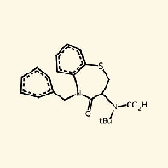 CC(C)(C)N(C(=O)O)C1CSc2ccccc2N(Cc2ccccc2)C1=O